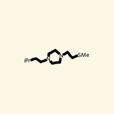 CSCCN1CCN(CCC(C)C)CC1